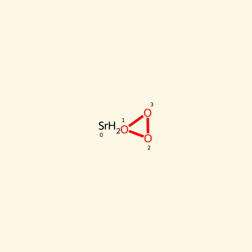 [SrH2].o1oo1